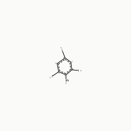 CC(C)c1c(I)cc(I)cc1I